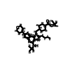 CCCCc1nc2c(NC(C)(C)C)nc3cc(C4=CCOCC4)sc3c2n1CC1CCN(C(=O)OC(C)(C)C)CC1